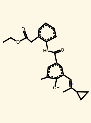 CCOC(=O)Cc1ccccc1NC(=O)c1cc(C)c(O)c(/C=C(\C)C2CC2)c1